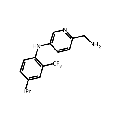 CC(C)c1ccc(Nc2ccc(CN)nc2)c(C(F)(F)F)c1